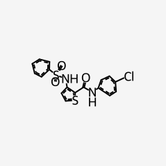 O=C(Nc1ccc(Cl)cc1)c1sccc1NS(=O)(=O)c1ccccc1